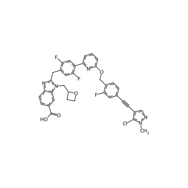 Cn1ncc(C#Cc2ccc(COc3cccc(-c4cc(F)c(Cc5nc6ccc(C(=O)O)cc6n5CC5CCO5)cc4F)n3)c(F)c2)c1Cl